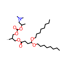 [CH2]C(COC(=O)CCC(OCCCCCCCC)OCCCCCCCC)COC(=O)OC(C)CN(C)C